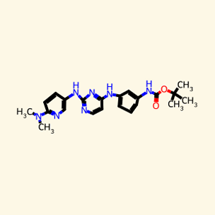 CN(C)c1ccc(Nc2nccc(Nc3cccc(NC(=O)OC(C)(C)C)c3)n2)cn1